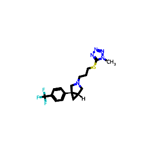 Cn1nnnc1SCCCN1C[C@@H]2C[C@]2(c2ccc(C(F)(F)F)cc2)C1